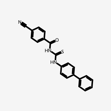 N#Cc1ccc(C(=O)NC(=S)Nc2ccc(-c3ccccc3)cc2)cc1